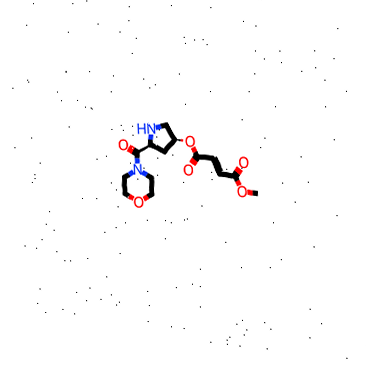 COC(=O)/C=C/C(=O)O[C@H]1CN[C@H](C(=O)N2CCOCC2)C1